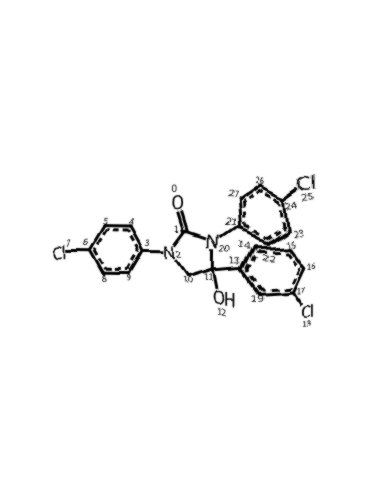 O=C1N(c2ccc(Cl)cc2)CC(O)(c2cccc(Cl)c2)N1c1ccc(Cl)cc1